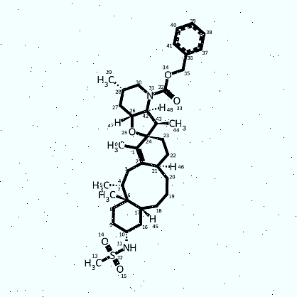 CC1=C2C[C@@H](C)[C@@]3(C)CC[C@@H](NS(C)(=O)=O)C[C@H]3CCC[C@@H]2CC[C@]12O[C@@H]1C[C@H](C)CN(C(=O)OCc3ccccc3)[C@H]1[C@H]2C